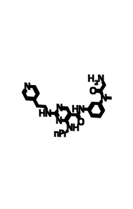 CCCNc1nc(NCCc2ccncc2)ncc1C(=O)Nc1cccc(N(C)C(=O)CN)c1